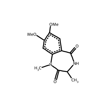 COc1cc2c(cc1OC)N(C)C(=O)C(C)NC2=O